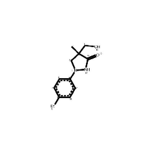 CCc1ccc(N2CC(C)(CO)C(=O)N2)cc1